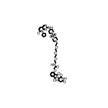 O=C(COc1cccc2c1C(=O)N(C1CCC(=O)NC1=O)C2O)NCCOCCOCCOCCN1CCN(S(=O)(=O)N2CCC(Nc3ncc4ccc(=O)n(C5CCCC5)c4n3)CC2)CC1